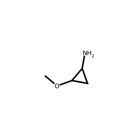 COC1CC1N